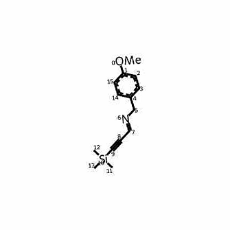 COc1ccc(CN=CC#C[Si](C)(C)C)cc1